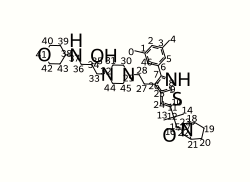 Cc1cc(C)cc(-c2[nH]c3sc(C(C)(C)C(=O)N4C5CCC4CC5)cc3c2CCN2CCN(CC(O)CNC3CCOCC3)CC2)c1